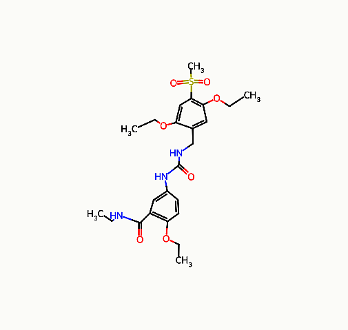 CCNC(=O)c1cc(NC(=O)NCc2cc(OCC)c(S(C)(=O)=O)cc2OCC)ccc1OCC